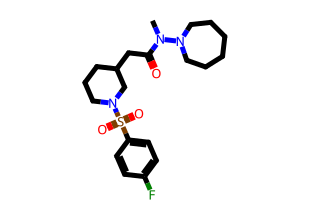 CN(C(=O)CC1CCCN(S(=O)(=O)c2ccc(F)cc2)C1)N1CCCCCC1